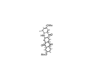 COC1=CC(C)C2Nc3cc4c(=O)c5cc(OC)ccc5[nH]c4cc3C(=O)C2=C1